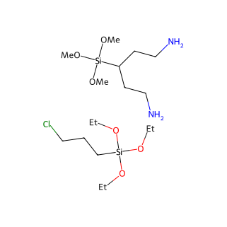 CCO[Si](CCCCl)(OCC)OCC.CO[Si](OC)(OC)C(CCN)CCN